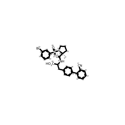 C[C@@]1(C(=O)NC(Cc2ccc(-c3ccccc3C#N)cc2)C(=O)O)CCCN1S(=O)(=O)c1cccc(Br)c1